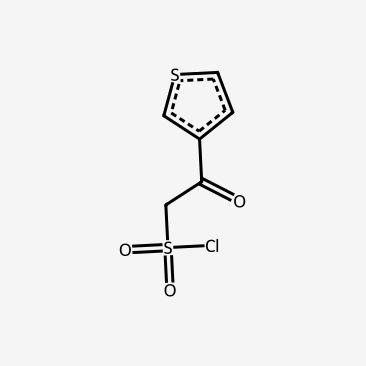 O=C(CS(=O)(=O)Cl)c1ccsc1